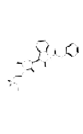 CCOS(=O)(=O)CCN1C(=O)C(=C2C(=O)[N+](C)(C(=O)Nc3ccccc3)c3ccccc32)SC1=S